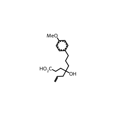 C=CCC(O)(CCCc1ccc(OC)cc1)CCC(=O)O